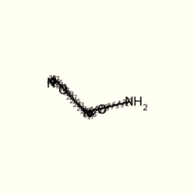 NCCCCCCCCCCOCCCc1ccc[n+](CCCCCCCCCCCCOCCCc2cccnc2)c1